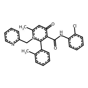 Cc1ccccc1-c1c(C(=O)Nc2ccccc2Cl)c(=O)cc(C)n1Cc1ccccn1